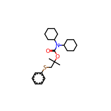 CC(C)(CSc1ccccc1)OC(=O)N(C1CCCCC1)C1CCCCC1